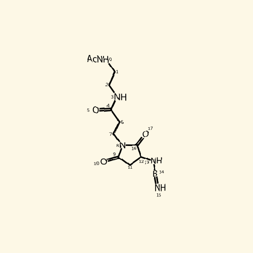 CC(=O)NCCNC(=O)CCN1C(=O)CC(NB=N)C1=O